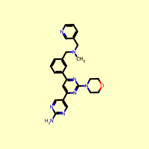 CN(Cc1cccnc1)Cc1cccc(-c2cc(-c3cnc(N)nc3)nc(N3CCOCC3)n2)c1